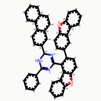 c1ccc(C2=NC(c3c(-c4ccc5oc6ccccc6c5c4)ccc4oc5ccccc5c34)=NC(c3ccc4c(ccc5ccccc54)c3)N2)cc1